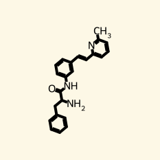 Cc1cccc(C=Cc2cccc(NC(=O)C(N)Cc3ccccc3)c2)n1